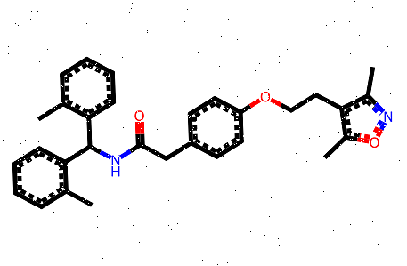 Cc1ccccc1C(NC(=O)Cc1ccc(OCCc2c(C)noc2C)cc1)c1ccccc1C